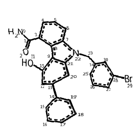 NC(=O)c1cccc2c1c1c(O)cc(-c3ccccc3)cc1n2Cc1cccc(Br)c1